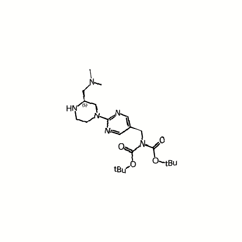 CN(C)C[C@H]1CN(c2ncc(CN(C(=O)OC(C)(C)C)C(=O)OC(C)(C)C)cn2)CCN1